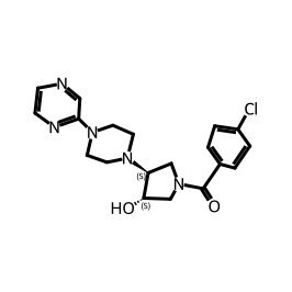 O=C(c1ccc(Cl)cc1)N1C[C@H](O)[C@@H](N2CCN(c3cnccn3)CC2)C1